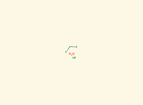 F.FCF.O